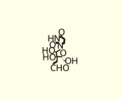 O=C/C=C/[C@@]1(O)[C@@H](CO)O[C@@H](n2ccc(=O)[nH]c2=O)[C@@H]1O